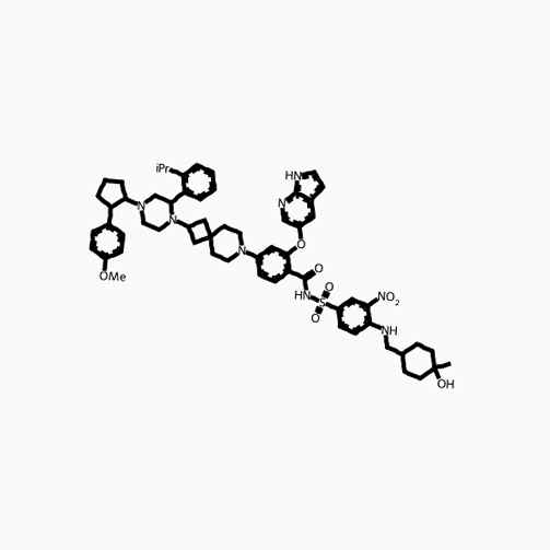 COc1ccc(C2CCCC2N2CCN(C3CC4(CCN(c5ccc(C(=O)NS(=O)(=O)c6ccc(NCC7CCC(C)(O)CC7)c([N+](=O)[O-])c6)c(Oc6cnc7[nH]ccc7c6)c5)CC4)C3)C(c3ccccc3C(C)C)C2)cc1